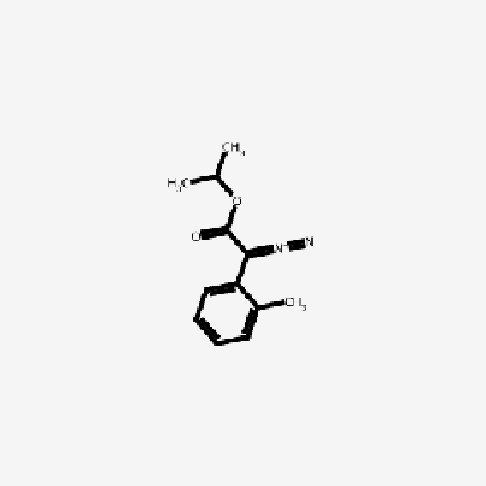 Cc1ccccc1C(=[N+]=[N-])C(=O)OC(C)C